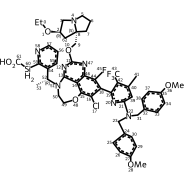 CCO[C@H]1CN2CCC[C@@]2(COc2nc3c4c(c(Cl)c(-c5nc(N(Cc6ccc(OC)cc6)Cc6ccc(OC)cc6)cc(C)c5C(F)(F)F)c(F)c4n2)OCCN3[C@H](C)c2cccnc2[SiH2]C(=O)O)C1